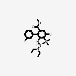 CCN(CC)/N=N/c1c(-c2cccc(F)c2)c(C(=O)OC)cc(Cl)c1[Si](C)(C)C